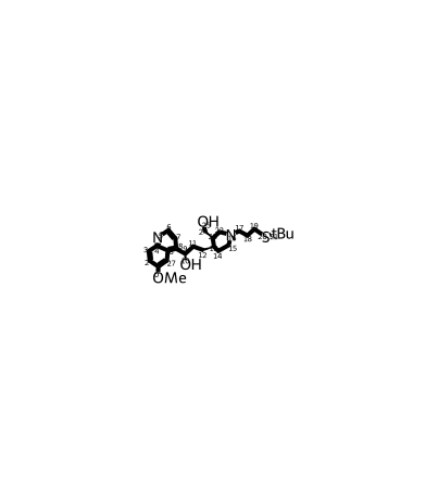 COc1ccc2nccc([C@H](O)CC[C@@H]3CCN(CCCSC(C)(C)C)C[C@@H]3CO)c2c1